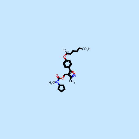 CC[C@@H](CCCCC(=O)O)Oc1ccc(-c2onc(C)c2COC(=O)N(C)C2CCCC2)cc1